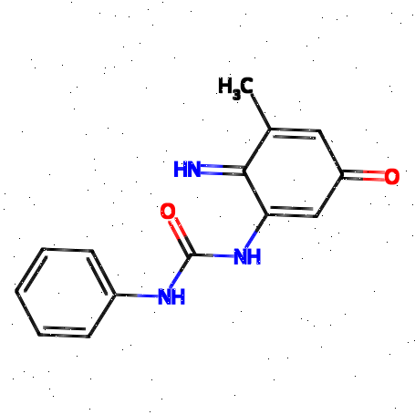 CC1=CC(=O)C=C(NC(=O)Nc2ccccc2)C1=N